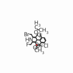 COC(=O)C1=C(CF)NC(CBr)=C(C(=O)OC(C)C)C1c1c(F)ccc(Cl)c1C(F)(F)F